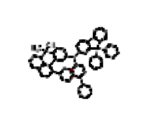 CC1(C)c2ccc(N(c3ccc(-c4ccccc4)cc3)c3ccc4c(c3)C(c3ccccc3)(c3ccccc3)c3ccccc3-4)cc2-c2c(-c3ccccc3)ccc3cccc1c23